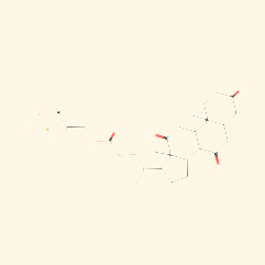 CC(CCC(=O)OCC(F)C(F)(F)S(=O)(=O)O)C1CCC2C3C(=O)CC4CC(=O)CCC4(C)C3CC(=O)C12C